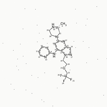 C[C@@H]1CN(c2nc(Nc3ccccn3)c3c(cnn3CCOCC(F)(F)F)n2)CCN1